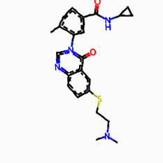 Cc1ccc(C(=O)NC2CC2)cc1-n1cnc2ccc(SCCN(C)C)cc2c1=O